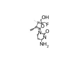 C#C[C@@H]1[C@H](n2ccc(N)nc2=O)O[C@@](CO)(CF)[C@H]1C